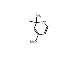 COC1=CC(C)(N)NC=C1